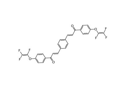 O=C(C=Cc1ccc(C=CC(=O)c2ccc(OC(F)=C(F)F)cc2)cc1)c1ccc(OC(F)=C(F)F)cc1